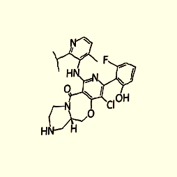 Cc1ccnc(C(C)C)c1Nc1nc(-c2c(O)cccc2F)c(Cl)c2c1C(=O)N1CCNC[C@H]1CO2